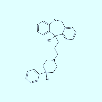 CC(=O)C1(c2ccccc2)CCN(CCCC2(C#N)c3ccccc3CSc3ccccc32)CC1